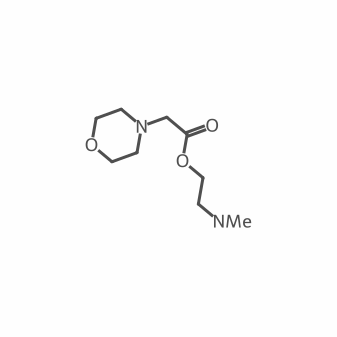 CNCCOC(=O)CN1CCOCC1